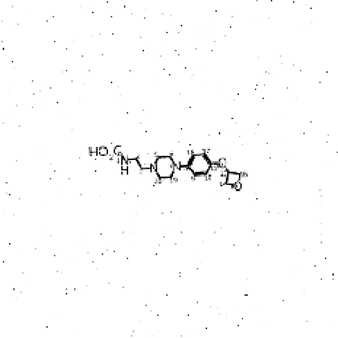 O=C(O)NCCN1CCN(c2ccc(OC3COC3)cc2)CC1